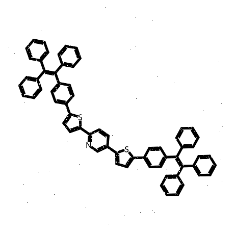 c1ccc(C(=C(c2ccccc2)c2ccc(-c3ccc(-c4ccc(-c5ccc(-c6ccc(C(=C(c7ccccc7)c7ccccc7)c7ccccc7)cc6)s5)nc4)s3)cc2)c2ccccc2)cc1